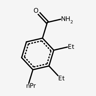 CCCc1ccc(C(N)=O)c(CC)c1CC